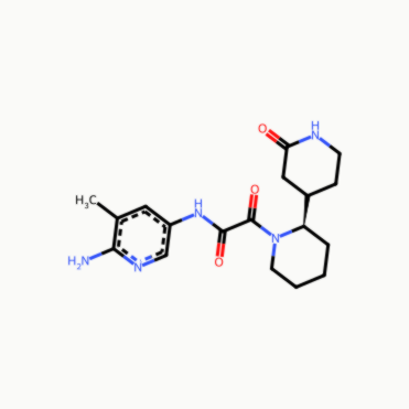 Cc1cc(NC(=O)C(=O)N2CCCC[C@@H]2C2CCNC(=O)C2)cnc1N